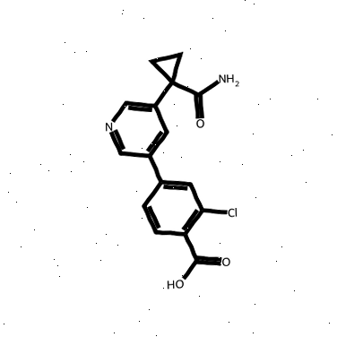 NC(=O)C1(c2cncc(-c3ccc(C(=O)O)c(Cl)c3)c2)CC1